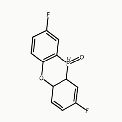 O=[PH]1c2cc(F)ccc2OC2C=CC(F)=CC21